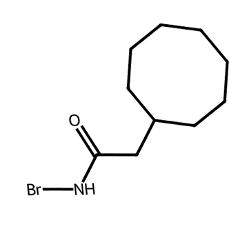 O=C(CC1CCCCCCC1)NBr